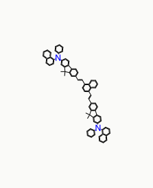 CC1(C)c2cc(/C=C/c3ccc(/C=C/c4ccc5c(c4)C(C)(C)c4cc(N(c6ccccc6)c6cccc7ccccc67)ccc4-5)c4ccccc34)ccc2-c2ccc(N(c3ccccc3)c3cccc4ccccc34)cc21